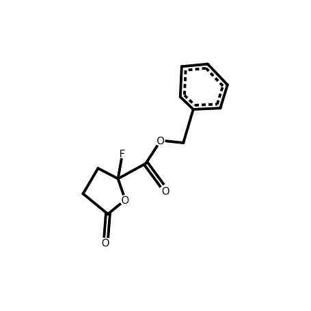 O=C1CCC(F)(C(=O)OCc2ccccc2)O1